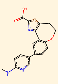 CNc1ccc(-c2ccc3c(c2)-c2nc(C(=O)O)sc2CCO3)cn1